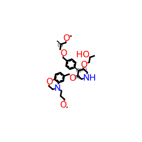 COCCCN1CCOc2ccc(CO[C@H]3CNC[C@@H](OCC(C)O)[C@@H]3c3ccc(COC[C@@H](C)COC)cc3)cc21